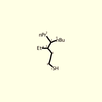 CCCCC(CCC)C(CC)CCS